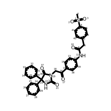 CS(=O)(=O)c1ccc(CC(=O)Nc2ccc(C(=O)CN3C(=O)NC(c4ccccc4)(c4ccccc4)C3=O)cc2)cc1